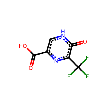 O=C(O)c1c[nH]c(=O)c(C(F)(F)F)n1